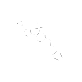 NS(=O)(=O)c1cc(NC(O)Cc2ccccc2F)ccc1-c1cnn(C2CC2)c1